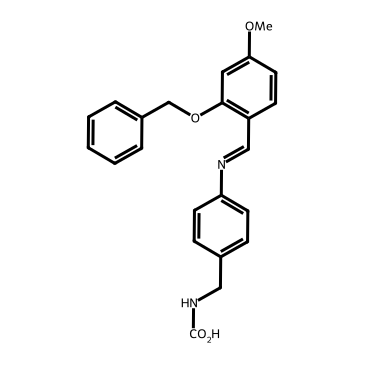 COc1ccc(C=Nc2ccc(CNC(=O)O)cc2)c(OCc2ccccc2)c1